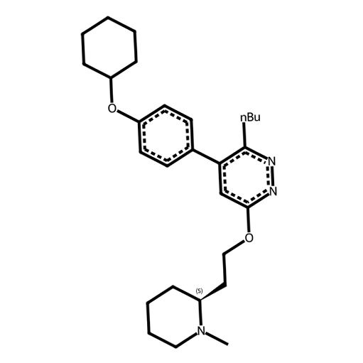 CCCCc1nnc(OCC[C@@H]2CCCCN2C)cc1-c1ccc(OC2CCCCC2)cc1